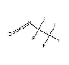 O=C=NC(F)(F)C(F)(F)F